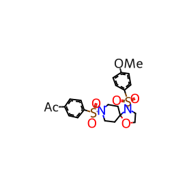 COc1ccc(S(=O)(=O)N2CCOC23CCN(S(=O)(=O)c2ccc(C(C)=O)cc2)CC3)cc1